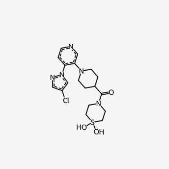 O=C(C1CCN(c2cnccc2-n2cc(Cl)cn2)CC1)N1CCS(O)(O)CC1